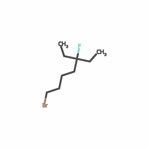 CCC(F)(CC)CCCCBr